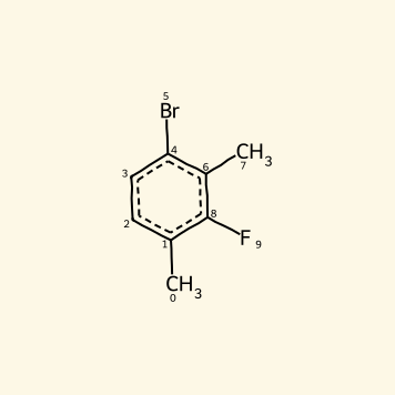 Cc1ccc(Br)c(C)c1F